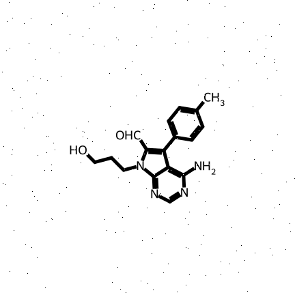 Cc1ccc(-c2c(C=O)n(CCCO)c3ncnc(N)c23)cc1